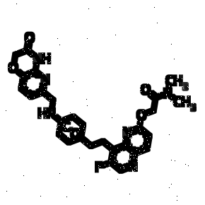 CN(C)C(=O)COc1ccc2ncc(F)c(CCC34CCC(NCc5ccc6c(n5)NC(=O)CO6)(CC3)CO4)c2n1